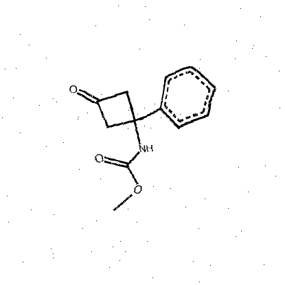 COC(=O)NC1(c2ccccc2)CC(=O)C1